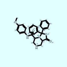 COc1ccc(NC(=O)C2CNCC3C(=O)OC(c4ccccc4)(c4ccccc4)N23)cc1